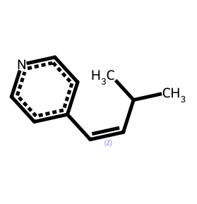 CC(C)/C=C\c1ccncc1